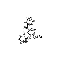 CC(C)(C)OC(=O)N[C@@H](C[C@@H]1CCCNC1=O)C(O)C(=O)N1CCOCC1